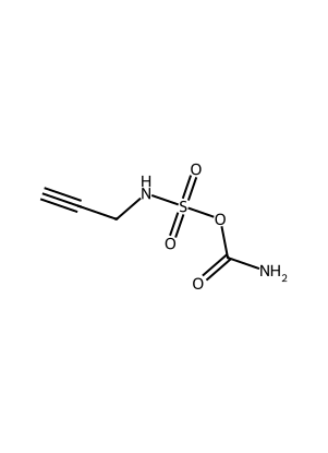 C#CCNS(=O)(=O)OC(N)=O